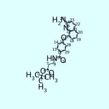 CC(C)(C)OC(=O)CCNC(=O)c1ccc(Oc2cccc3ccc(N)nc23)cc1